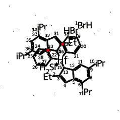 Br.Br.CCC1=Cc2c(C(C)C)cc(C(C)C)cc2[CH]1[Hf](=[SiH2])([c]1ccccc1)([c]1ccccc1)[CH]1C(CC)=Cc2c(C(C)C)cc(C(C)C)cc21